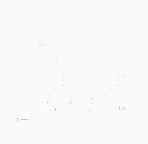 CCCOC(C)(C(N)=O)c1ccc2nc(-c3cncs3)cc(OCCOC)c2c1